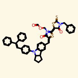 O=COCn1c(=O)/c(=C\c2ccc3c(c2)C2CCCC2N3c2ccc(C=C(c3ccccc3)c3ccccc3)cc2)s/c1=C1/SC(=S)N(Cc2ccccc2)C1=O